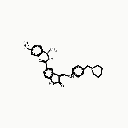 COc1ccc([C@@H](C)NC(=O)c2ccc3c(c2)C(=CNc2ccc(CN4CCCCC4)cc2)C(=O)N3)cc1